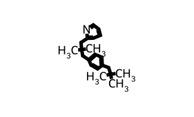 CC(C)(C)Cc1ccc(CC(C)(C)Cc2ccccn2)cc1